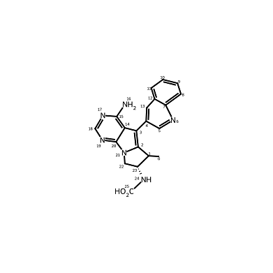 CC1c2c(-c3cnc4ccccc4c3)c3c(N)ncnc3n2C[C@H]1NC(=O)O